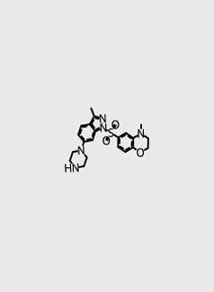 Cc1nn(S(=O)(=O)c2ccc3c(c2)N(C)CCO3)c2cc(N3CCNCC3)ccc12